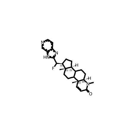 CN1C(=O)C=C[C@]2(C)C3CC[C@]4(C)[C@@H](C(F)c5nc6ccncc6[nH]5)CC[C@H]4C3CC[C@@H]12